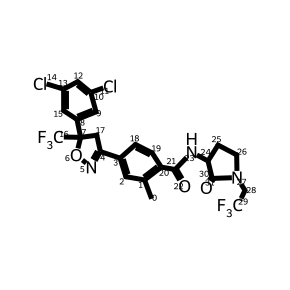 Cc1cc(C2=NOC(c3cc(Cl)cc(Cl)c3)(C(F)(F)F)C2)ccc1C(=O)NC1CCN(CC(F)(F)F)C1=O